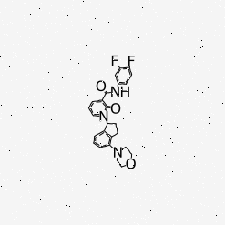 O=C(Nc1ccc(F)c(F)c1)c1cccn(C2CCc3c2cccc3N2CCOCC2)c1=O